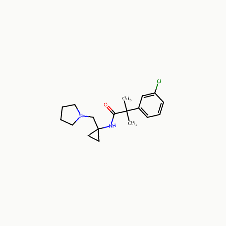 CC(C)(C(=O)NC1(CN2CCCC2)CC1)c1cccc(Cl)c1